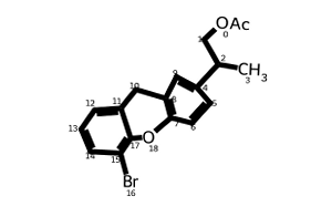 CC(=O)OCC(C)c1ccc2c(c1)Cc1cccc(Br)c1O2